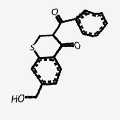 O=C(c1ccccc1)C1CSc2cc(CO)ccc2C1=O